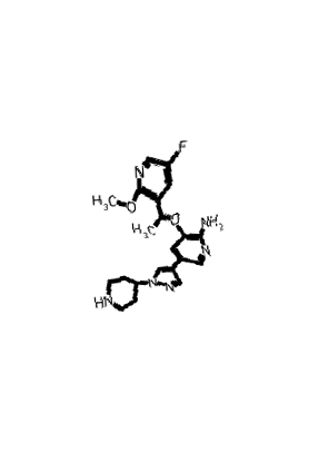 COc1ncc(F)cc1C(C)Oc1cc(-c2cnn(C3CCNCC3)c2)cnc1N